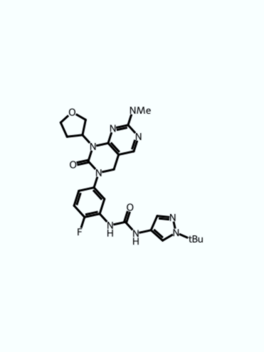 CNc1ncc2c(n1)N(C1CCOC1)C(=O)N(c1ccc(F)c(NC(=O)Nc3cnn(C(C)(C)C)c3)c1)C2